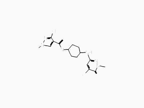 Cn1cc(C(=O)NC2CCC(Nc3cc(C(F)(F)F)c(=O)n(C)n3)CC2)c(Cl)n1